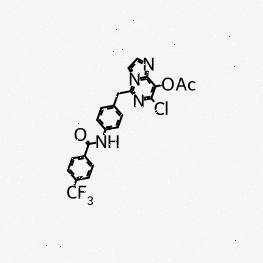 CC(=O)Oc1c(Cl)nc(Cc2ccc(NC(=O)c3ccc(C(F)(F)F)cc3)cc2)n2ccnc12